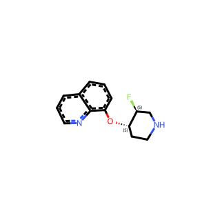 F[C@H]1CNCC[C@@H]1Oc1cccc2cccnc12